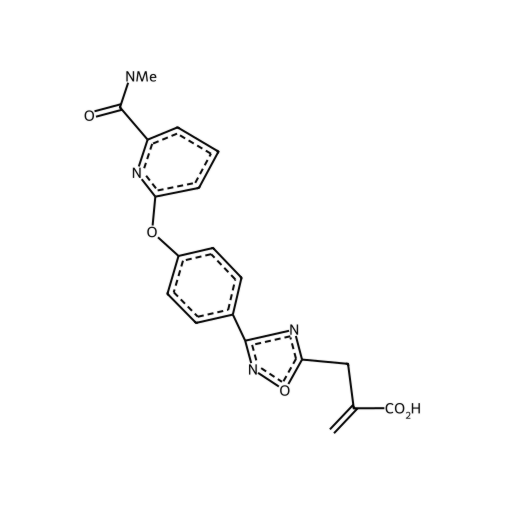 C=C(Cc1nc(-c2ccc(Oc3cccc(C(=O)NC)n3)cc2)no1)C(=O)O